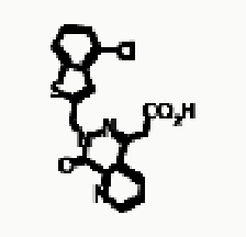 O=C(O)Cc1nn(Cc2cc3c(Cl)cccc3s2)c(=O)c2ncccc12